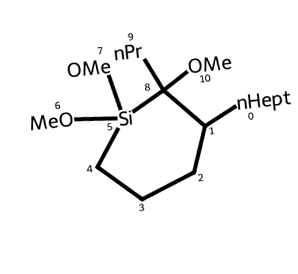 CCCCCCCC1CCC[Si](OC)(OC)C1(CCC)OC